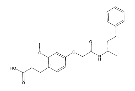 COc1cc(OCC(=O)NC(C)CCc2ccccc2)ccc1CCC(=O)O